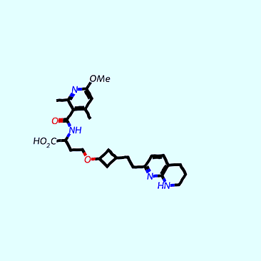 COc1cc(C)c(C(=O)NC(CCOC2CC(CCc3ccc4c(n3)NCCC4)C2)C(=O)O)c(C)n1